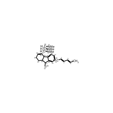 CC=CC=CC.C[N-]C.C[N-]C.C[N-]C.[Ti+3][CH]1c2ccccc2C2C=CCCC12